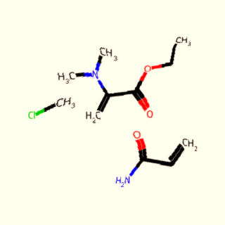 C=C(C(=O)OCC)N(C)C.C=CC(N)=O.CCl